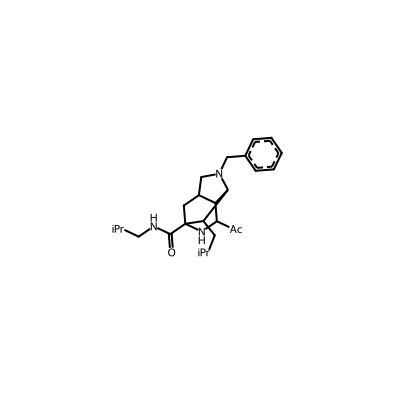 CC(=O)C1NC2(C(=O)NCC(C)C)CC3CN(Cc4ccccc4)C(C31)C2CC(C)C